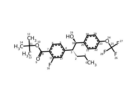 CCC[C@H](c1ccc(C(=O)OC(C)(C)C)c(F)c1)[C@@H](O)c1ccc(OC(F)(F)F)cc1